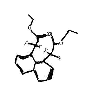 CCOC(=O)C(F)(F)c1cccc2cccc(C(F)(F)C(=O)OCC)c12